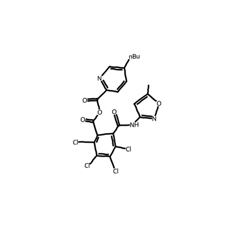 CCCCc1ccc(C(=O)OC(=O)c2c(Cl)c(Cl)c(Cl)c(Cl)c2C(=O)Nc2cc(C)on2)nc1